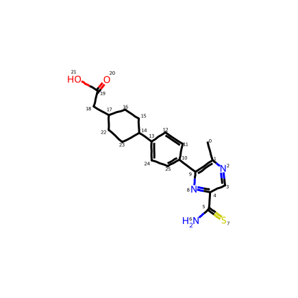 Cc1ncc(C(N)=S)nc1-c1ccc(C2CCC(CC(=O)O)CC2)cc1